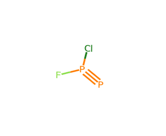 FP(#P)Cl